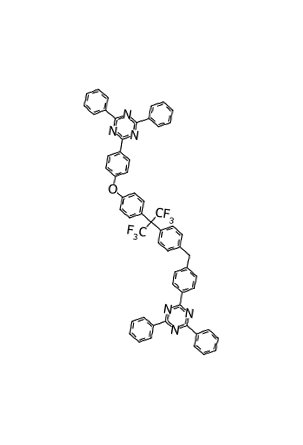 FC(F)(F)C(c1ccc(Cc2ccc(-c3nc(-c4ccccc4)nc(-c4ccccc4)n3)cc2)cc1)(c1ccc(Oc2ccc(-c3nc(-c4ccccc4)nc(-c4ccccc4)n3)cc2)cc1)C(F)(F)F